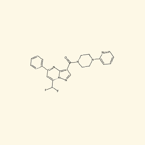 O=C(c1cnn2c(C(F)F)cc(-c3ccccc3)nc12)N1CCN(c2ccccn2)CC1